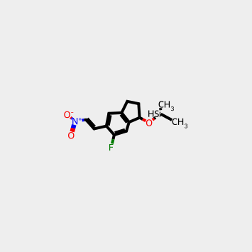 C[SiH](C)OC1CCc2cc(C=C[N+](=O)[O-])c(F)cc21